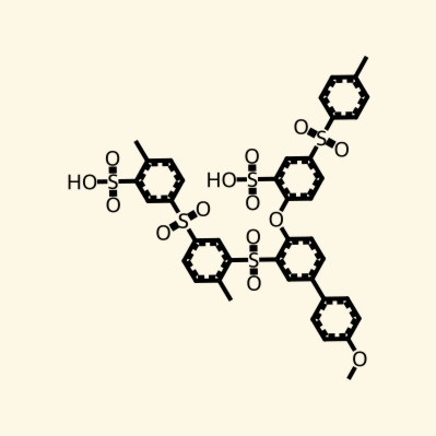 COc1ccc(-c2ccc(Oc3ccc(S(=O)(=O)c4ccc(C)cc4)cc3S(=O)(=O)O)c(S(=O)(=O)c3cc(S(=O)(=O)c4ccc(C)c(S(=O)(=O)O)c4)ccc3C)c2)cc1